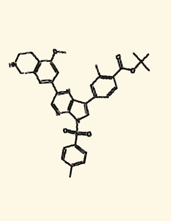 COc1cc(-c2cnc3c(n2)c(-c2ccc(C(=O)OC(C)(C)C)c(C)c2)cn3S(=O)(=O)c2ccc(C)cc2)cc2c1CCNC2